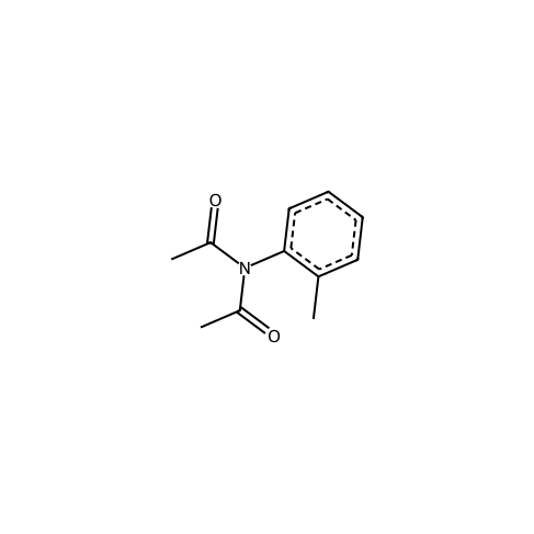 CC(=O)N(C(C)=O)c1ccccc1C